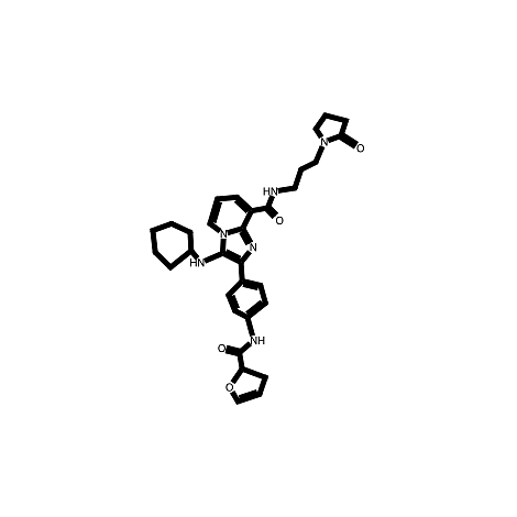 O=C(NCCCN1CCCC1=O)c1cccn2c(NC3CCCCC3)c(-c3ccc(NC(=O)C4CC=CO4)cc3)nc12